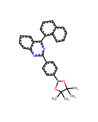 CC1(C)OB(c2ccc(-c3nc(-c4cccc5ccccc45)c4ccccc4n3)cc2)OC1(C)C